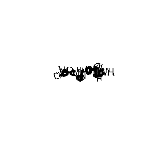 O=C(c1ccc(Nc2nc3c(N4CCC(O)(c5ccc(Cl)cc5)CC4)cccn3n2)cc1)N1CC[C@H]2CNC[C@H]21